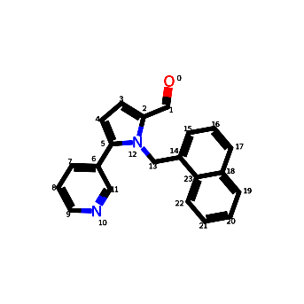 O=Cc1ccc(-c2cccnc2)n1Cc1cccc2ccccc12